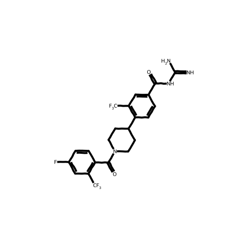 N=C(N)NC(=O)c1ccc(C2CCN(C(=O)c3ccc(F)cc3C(F)(F)F)CC2)c(C(F)(F)F)c1